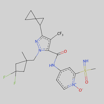 CC1(Cn2nc(C3CC34CC4)c(C(F)(F)F)c2C(=O)Nc2cc[n+]([O-])c(S(C)(=N)=O)c2)CC(F)(F)C1